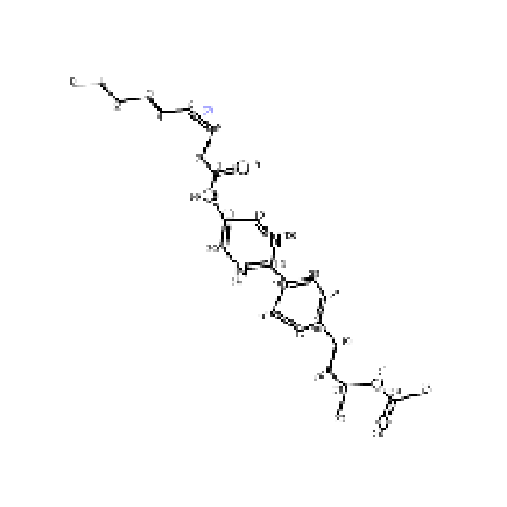 CCCCC/C=C\CC(=O)Oc1cnc(-c2ccc(CCC(C)OC(C)=O)cc2)nc1